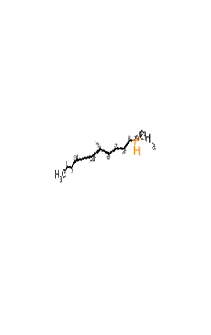 CCCCCCCCCCPC